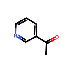 CC(=O)c1[c]nccc1